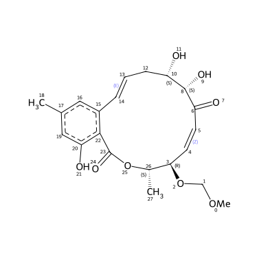 COCO[C@@H]1/C=C\C(=O)[C@@H](O)[C@@H](O)C/C=C/c2cc(C)cc(O)c2C(=O)O[C@H]1C